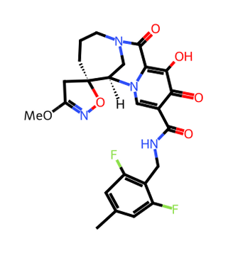 COC1=NO[C@@]2(CCCN3C[C@H]2n2cc(C(=O)NCc4c(F)cc(C)cc4F)c(=O)c(O)c2C3=O)C1